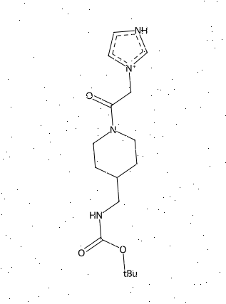 CC(C)(C)OC(=O)NCC1CCN(C(=O)C[n+]2cc[nH]c2)CC1